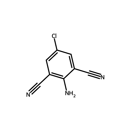 N#Cc1cc(Cl)cc(C#N)c1N